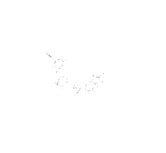 Cn1c(=O)[nH]c2cc(C(=O)NCc3ccc(Oc4cccc(C#N)c4)nc3)ccc21